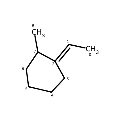 C/C=C1\CCCCC1C